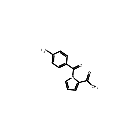 CC(=O)c1cccn1C(=O)c1ccc(N)cc1